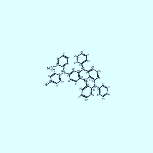 Cc1ccccc1N(c1ccc(F)cc1)c1ccc2c(c1)N(c1ccccc1)c1cccc3c1B2c1ccccc1N3c1ccccc1